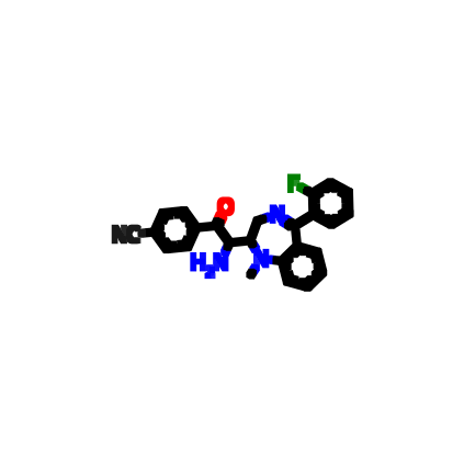 CN1c2ccccc2C(c2ccccc2F)=NCC1C(N)C(=O)c1ccc(C#N)cc1